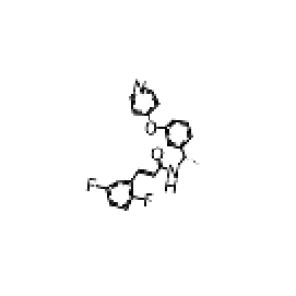 C[C@H](NC(=O)/C=C/c1cc(F)ccc1F)c1cccc(Oc2ccncc2)c1